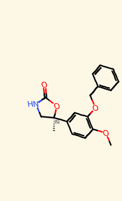 COc1ccc([C@@]2(C)CNC(=O)O2)cc1OCc1ccccc1